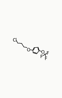 FC(F)(F)Oc1ccc(OCCCCCl)cc1